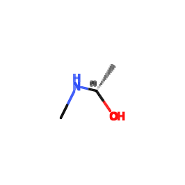 CN[C@H](C)O